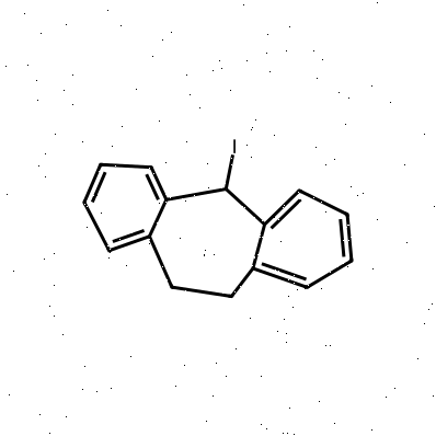 IC1c2ccccc2CCc2ccccc21